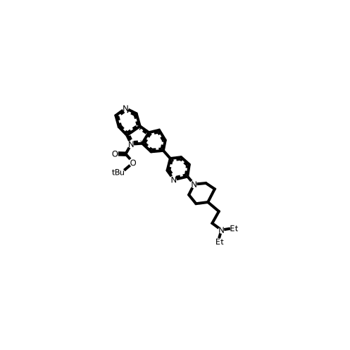 CCN(CC)CCC1CCN(c2ccc(-c3ccc4c5cnccc5n(C(=O)OC(C)(C)C)c4c3)cn2)CC1